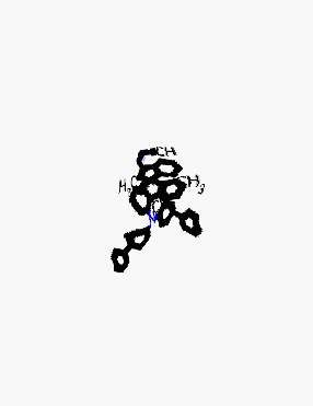 C#C/C=C\C1=C(C)C2(C3=CC=CC(N(c4ccc(-c5ccccc5)cc4)c4ccc(-c5ccccc5)cc4)C3(C)c3ccccc32)C2C(C)CC=CC12